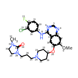 COc1cc2ncnc(Nc3ccc(F)c(Cl)c3)c2cc1OC1CCN(CCCN2CCN(C)C2=O)CC1